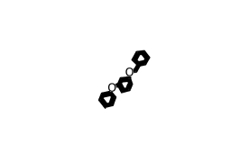 [c]1ccc(Oc2cccc(OCc3ccccc3)c2)cc1